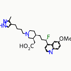 COc1ccc2nccc([C@@H](F)CC[C@@H]3CCN(CCCCc4c[nH]nc4C)C[C@@H]3CC(=O)O)c2c1